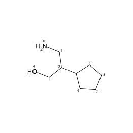 NCC(CO)C1CCCC1